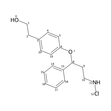 OCCc1ccc(OC(CCNCl)c2ccccc2)cc1